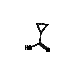 O=C(O)C1[CH]C1